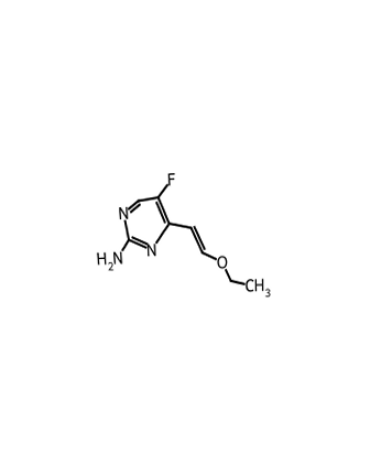 CCOC=Cc1nc(N)ncc1F